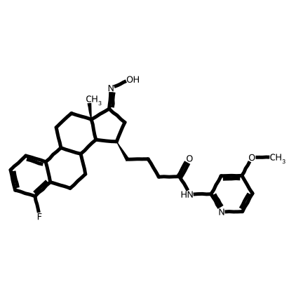 COc1ccnc(NC(=O)CCC[C@@H]2C/C(=N\O)[C@@]3(C)CCC4c5cccc(F)c5CCC4C23)c1